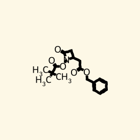 CC(C)(C)C(=O)ON1C(=O)CC1CC(=O)OCc1ccccc1